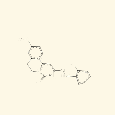 COc1ccc2c(c1)CCn1c-2cc(NNc2ccccc2Br)nc1=O